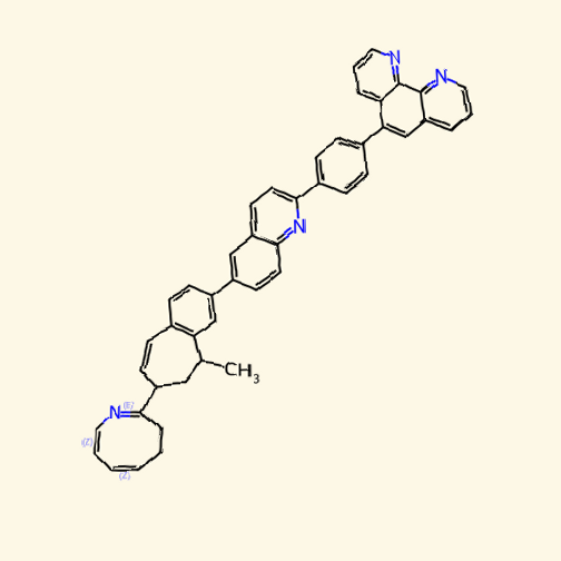 CC1CC(/C2=N/C=C\C=C/CC2)C=Cc2ccc(-c3ccc4nc(-c5ccc(-c6cc7cccnc7c7ncccc67)cc5)ccc4c3)cc21